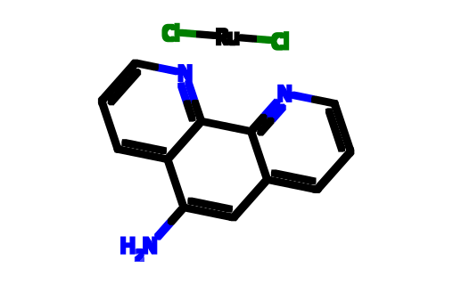 Nc1cc2cccnc2c2ncccc12.[Cl][Ru][Cl]